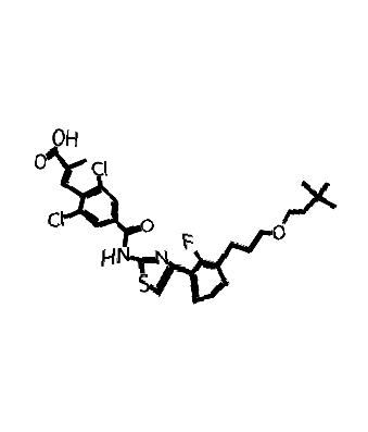 C/C(=C\c1c(Cl)cc(C(=O)Nc2nc(-c3cccc(CCCOCCC(C)(C)C)c3F)cs2)cc1Cl)C(=O)O